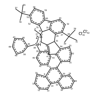 CCCC1=Cc2c(-c3cc4ccccc4c4ccccc34)cccc2C1c1c(C(C)(C)C)ccc2c1[CH]([Zr+2][SiH](c1ccccc1)c1ccccc1)c1cc(C(C)(C)C)ccc1-2.[Cl-].[Cl-]